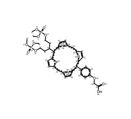 COP(=O)(OC)OCCC(CCOP(=O)(OC)OC)c1c2nc(cc3ccc([nH]3)c(-c3ccc(OCC(=O)O)cc3)c3nc(cc4ccc1[nH]4)C=C3)C=C2